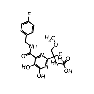 COCC(C)(NC(=O)O)c1nc(O)c(O)c(C(=O)NCc2ccc(F)cc2)n1